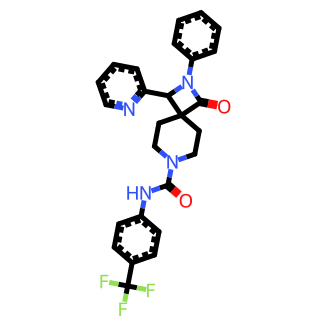 O=C(Nc1ccc(C(F)(F)F)cc1)N1CCC2(CC1)C(=O)N(c1ccccc1)C2c1ccccn1